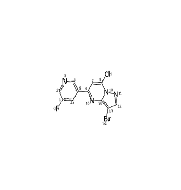 Fc1cncc(-c2cc(Cl)n3ncc(Br)c3n2)c1